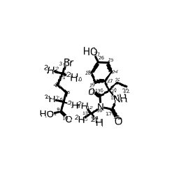 [2H]C([2H])(Br)CCC([2H])([2H])C(=O)O.[2H]C([2H])([2H])N1C(=O)NC(CC)(c2ccc(O)cc2)C1=O